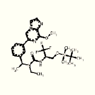 CCN(C(=O)NC(CO[Si](C)(C)C(C)(C)C)C(F)(F)F)C(C)c1cccc(-c2cn3ccnc3c(OC)n2)c1